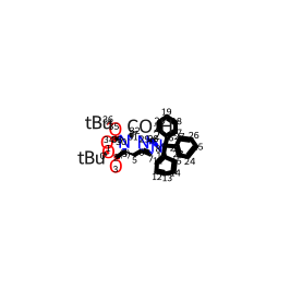 CC(C)(C)OC(=O)[C@H](Cc1cn(C(c2ccccc2)(c2ccccc2)c2ccccc2)cn1)N(CC(=O)O)C(=O)OC(C)(C)C